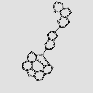 c1cnc2c(c1)ccc1ccc(-c3ccc4cc(-n5c6ccc7ccc8sc9ccc%10ccc5c5c%10c9c8c7c56)ccc4c3)nc12